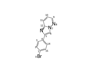 Brc1ccc(-c2cn3ncccc3n2)cc1